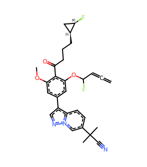 C=C=CC(F)Oc1cc(-c2cnn3cc(C(C)(C)C#N)ccc23)cc(OC)c1C(=O)CCC[C@H]1C[C@H]1F